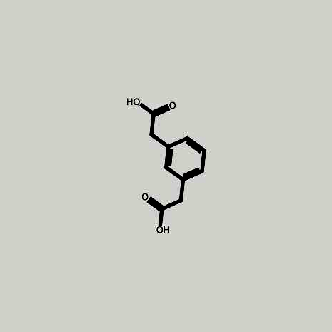 O=C(O)Cc1[c]ccc(CC(=O)O)c1